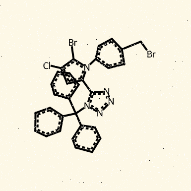 Clc1cc(-c2nnnn2C(c2ccccc2)(c2ccccc2)c2ccccc2)n(-c2ccc(CBr)cc2)c1Br